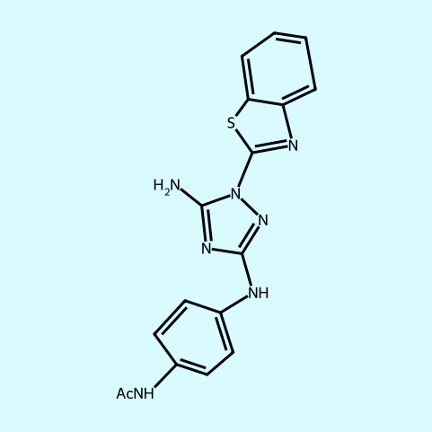 CC(=O)Nc1ccc(Nc2nc(N)n(-c3nc4ccccc4s3)n2)cc1